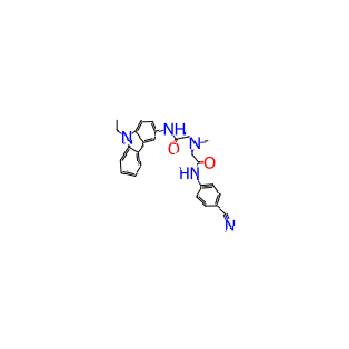 CCn1c2ccccc2c2cc(NC(=O)CN(C)CC(=O)Nc3ccc(C#N)cc3)ccc21